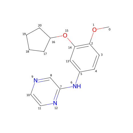 COc1ccc(Nc2cnccn2)cc1OC1CCCC1